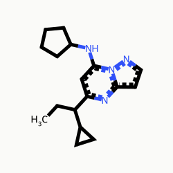 CCC(c1cc(NC2CCCC2)n2nccc2n1)C1CC1